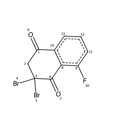 O=C1CC(Br)(Br)C(=O)c2c(F)cccc21